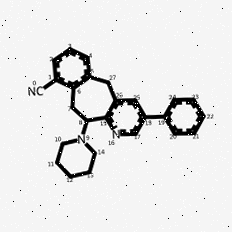 N#Cc1cccc2c1CC(N1CCCCC1)c1ncc(-c3ccccc3)cc1C2